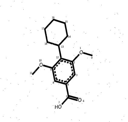 COc1cc(C(=O)O)cc(OC)c1C1CCCCC1